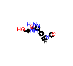 Nc1ncc(-c2ccc([C@@]34CC[C@@H]3CN(C3CCOCC3)C4)cc2)cc1C(=O)NC12CC(CO)(C1)C2